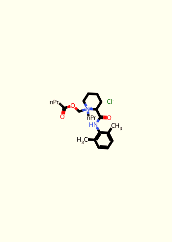 CCCC(=O)OC[N+]1(CCC)CCCCC1C(=O)Nc1c(C)cccc1C.[Cl-]